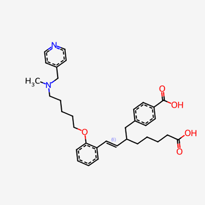 CN(CCCCCOc1ccccc1/C=C/C(CCCCC(=O)O)Cc1ccc(C(=O)O)cc1)Cc1ccncc1